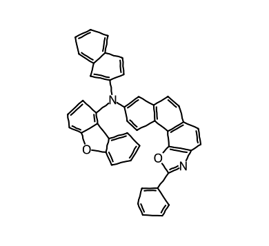 c1ccc(-c2nc3ccc4ccc5cc(N(c6ccc7ccccc7c6)c6cccc7oc8ccccc8c67)ccc5c4c3o2)cc1